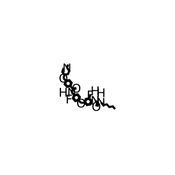 CCCCCNC(=O)Nc1ccc(Oc2ccc(NC(=O)c3ccc(OC4CCN(C)CC4)cc3)c(F)c2)cc1F